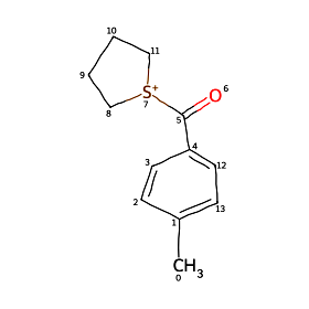 Cc1ccc(C(=O)[S+]2CCCC2)cc1